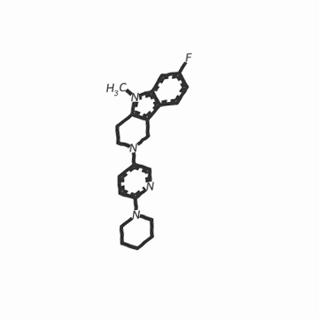 Cn1c2c(c3ccc(F)cc31)CN(c1ccc(N3CCCCC3)nc1)CC2